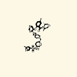 C[C@@H]1COC[C@@H](C)N1C(=O)c1cc(F)ccc1Oc1cncnc1N1CC2(CCN(C[C@@H]3CC[C@@H](NS(=O)(=O)c4cnn(C)c4)CO3)CC2)C1